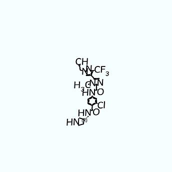 C#CCn1cc(-c2cnc(C(=O)Nc3ccc(C(=O)NC[C@@H]4CCNC4)c(Cl)c3)n2C)c(C(F)(F)F)n1